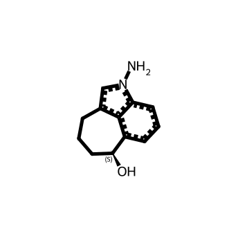 Nn1cc2c3c(cccc31)[C@@H](O)CCC2